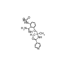 CC(C)(COc1cccc(N[SH](=O)=O)c1C(=N)N)NC(=O)c1ccncc1